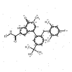 CCNC(=O)c1cc2c(-c3cc(C(C)(C)O)ccc3Cc3c(C)cc(F)cc3C)cn(C)c(=O)c2[nH]1